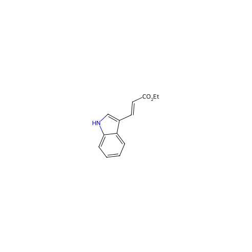 CCOC(=O)C=Cc1c[nH]c2ccccc12